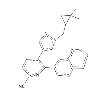 CC1(C)CC1Cn1cc(-c2ccc(C#N)nc2-c2ccc3cccnc3c2)cn1